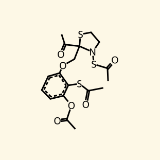 CC(=O)Oc1cccc(OCC2(C(C)=O)SCCN2SC(C)=O)c1SC(C)=O